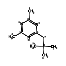 Cc1nc(C)nc(CC(C)(C)C)n1